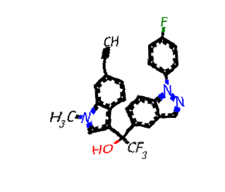 C#Cc1ccc2c(C(O)(c3ccc4c(cnn4-c4ccc(F)cc4)c3)C(F)(F)F)cn(C)c2c1